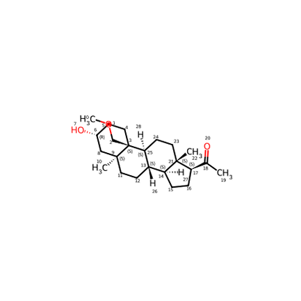 COC[C@]12CC[C@@H](O)C[C@]1(C)CC[C@H]1[C@@H]3CC[C@H](C(C)=O)[C@@]3(C)CC[C@@H]12